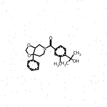 Cc1cc(C(=O)N2CCC3(c4ccccc4)OCOC3C2)ccc1C(C)(C)O